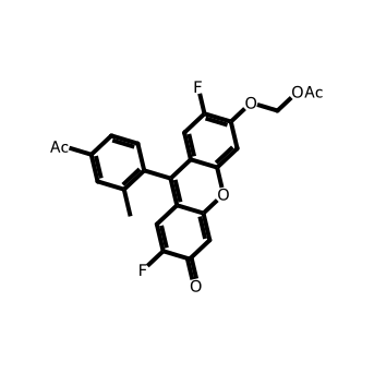 CC(=O)OCOc1cc2oc3cc(=O)c(F)cc-3c(-c3ccc(C(C)=O)cc3C)c2cc1F